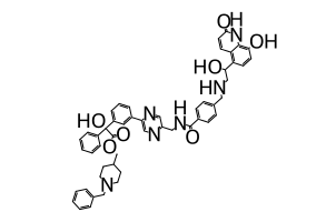 O=C(NCc1cnc(-c2cccc(C(O)(C(=O)OCC3CCN(Cc4ccccc4)CC3)c3ccccc3)c2)cn1)c1ccc(CNCC(O)c2ccc(O)c3[nH]c(=O)ccc23)cc1